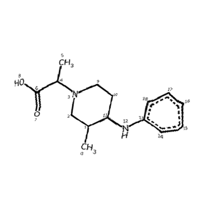 CC1CN(C(C)C(=O)O)CCC1Nc1ccccc1